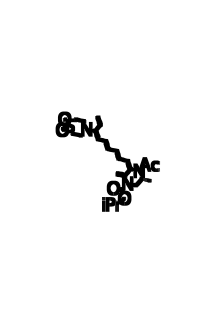 C=C\C(=C/C=C/C=C/C=C1\C(=C)N(C(=O)OC(C)C)C[C@H](C)N1C(C)=O)N1CCS(=O)(=O)CC1